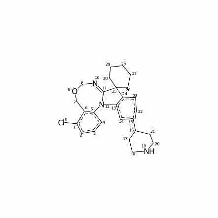 Clc1cccc2c1COC/N=C1\N2c2cc(C3CCNCC3)ccc2C12CCCCC2